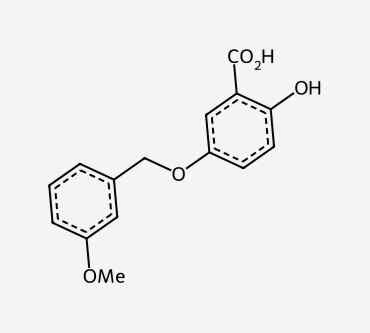 COc1cccc(COc2ccc(O)c(C(=O)O)c2)c1